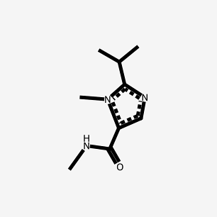 CNC(=O)c1cnc(C(C)C)n1C